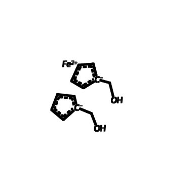 OC[c-]1cccc1.OC[c-]1cccc1.[Fe+2]